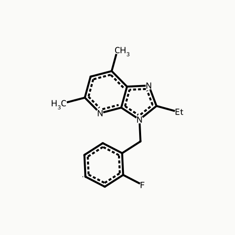 CCc1nc2c(C)cc(C)nc2n1Cc1cc[c]cc1F